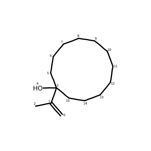 C=C(C)C1(O)CCCCCCCCCCC1